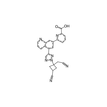 N#CCC1(n2ncc(-c3cc(-c4cccc(C(=O)O)n4)cc4ncccc34)n2)CC(C#N)C1